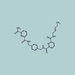 CC/C=C/CNC(=O)c1cccc(C(=O)NCc2ccc(CNC(=O)c3cccc(C(N)=O)n3)cc2)n1